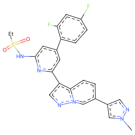 CCS(=O)(=O)Nc1cc(-c2ccc(F)cc2F)cc(-c2cnn3cc(-c4cnn(C)c4)ccc23)n1